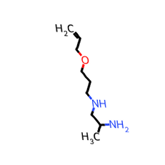 C=CCOCCCNCC(C)N